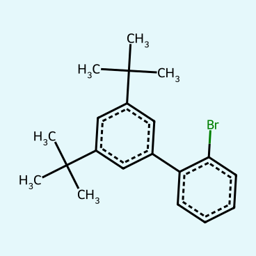 CC(C)(C)c1cc(-c2ccccc2Br)cc(C(C)(C)C)c1